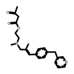 CC(=O)CC(=O)OCCN(C)C/C(C)=C/c1ccc(Cc2cccnc2)cc1